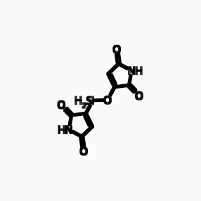 O=C1C=C(O[SiH2]C2=CC(=O)NC2=O)C(=O)N1